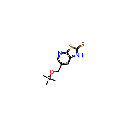 C[Si](C)(C)OCc1cnc2sc(=S)[nH]c2c1